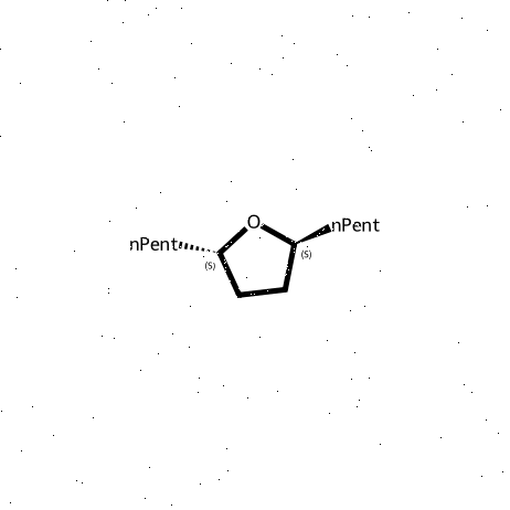 CCCCC[C@H]1CC[C@H](CCCCC)O1